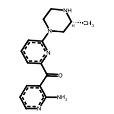 C[C@@H]1CN(c2cccc(C(=O)c3cccnc3N)n2)CCN1